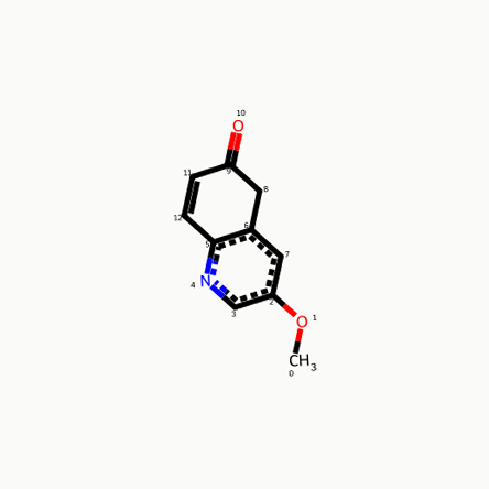 COc1cnc2c(c1)CC(=O)C=C2